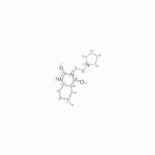 Cc1ccc2[nH]c(=O)n(CCN3CCCC3)c(=O)c2c1